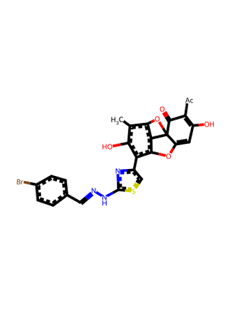 CC(=O)C1=C(O)C=C2Oc3c(-c4csc(N/N=C/c5ccc(Br)cc5)n4)c(O)c(C)c4c3C2(O4)C1=O